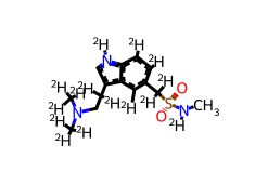 [2H]c1c(C([2H])([2H])S(=O)(=O)N([2H])C)c([2H])c2c(C([2H])([2H])CN(C([2H])([2H])[2H])C([2H])([2H])[2H])cn([2H])c2c1[2H]